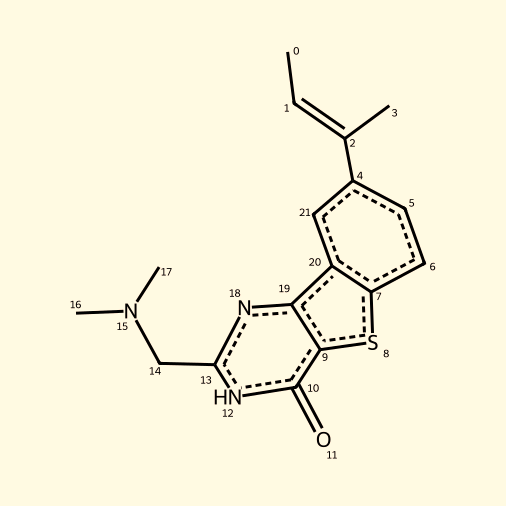 CC=C(C)c1ccc2sc3c(=O)[nH]c(CN(C)C)nc3c2c1